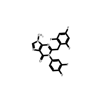 Cn1cnc2c(=O)n(-c3ccc(F)c(F)c3)c(Cc3c(F)cc(F)cc3F)nc21